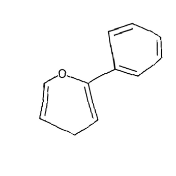 C1=COC(c2ccccc2)=CC1